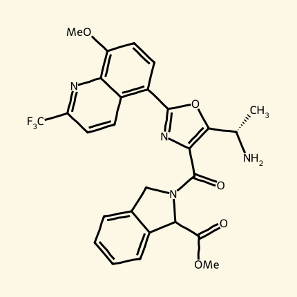 COC(=O)C1c2ccccc2CN1C(=O)c1nc(-c2ccc(OC)c3nc(C(F)(F)F)ccc23)oc1[C@H](C)N